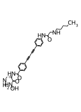 CCCCCNCC(=O)Nc1ccc(C#CC#Cc2ccc(C(=O)N[C@@H](CN)C(=O)NO)cc2)cc1